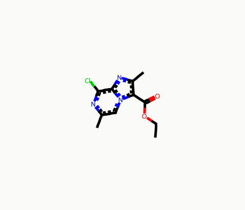 CCOC(=O)c1c(C)nc2c(Cl)nc(C)cn12